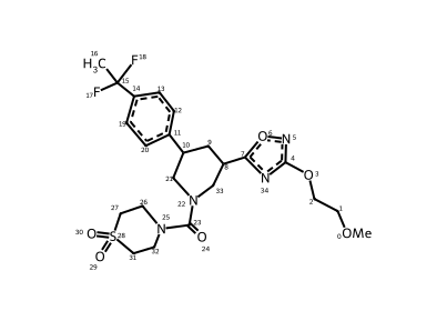 COCCOc1noc(C2CC(c3ccc(C(C)(F)F)cc3)CN(C(=O)N3CCS(=O)(=O)CC3)C2)n1